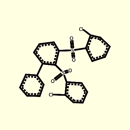 O=S(=O)(c1ccccc1Cl)c1cccc(-c2ccccc2)c1S(=O)(=O)c1ccccc1Cl